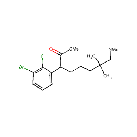 CNCC(C)(C)CCCC(C(=O)OC)c1cccc(Br)c1F